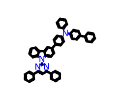 c1ccc(-c2ccc(N(c3ccccc3)c3ccc(-c4ccc5c(c4)c4ccccc4n5-c4nc(-c5ccccc5)cc(-c5ccccc5)n4)cc3)cc2)cc1